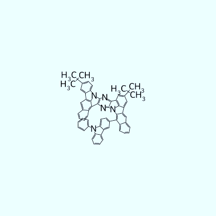 CC(C)(C)c1ccc2c(c1)c1cc3ccccc3c3c4nc5c(nc4n2c13)c1cc(C(C)(C)C)cc2c3cc4ccccc4c(-c4ccc6c(c4)c4ccccc4n6-c4ccccc4)c3n5c21